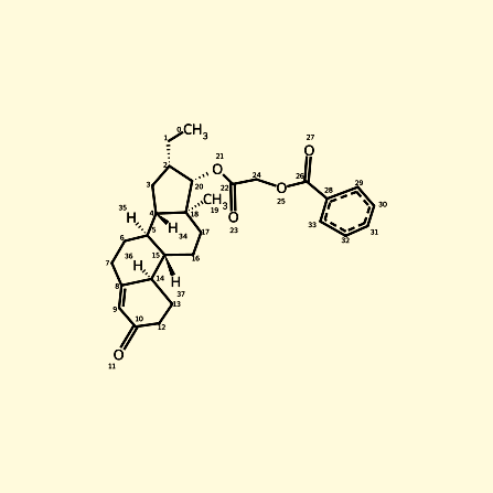 CC[C@H]1C[C@H]2[C@@H]3CCC4=CC(=O)CC[C@@H]4[C@H]3CC[C@]2(C)[C@H]1OC(=O)COC(=O)c1ccccc1